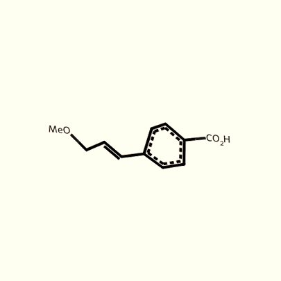 COCC=Cc1ccc(C(=O)O)cc1